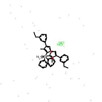 CCc1cccc(C2=CC(C)[C]([Hf](=[SiH2])([C]3=C(C)C(c4cccc(CC)c4)=CC3C)([c]3ccccc3)[c]3ccccc3)=C2C)c1.Cl.Cl